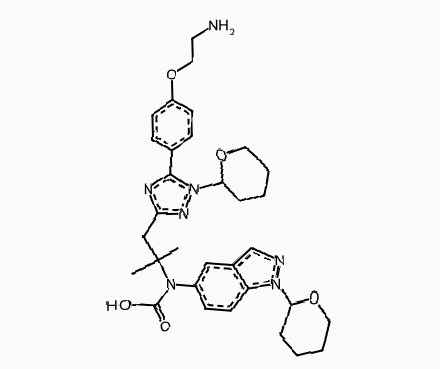 CC(C)(Cc1nc(-c2ccc(OCCN)cc2)n(C2CCCCO2)n1)N(C(=O)O)c1ccc2c(cnn2C2CCCCO2)c1